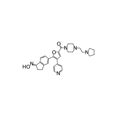 O=C(c1cc(-c2ccncc2)c(-c2ccc3c(c2)CCC3=NO)o1)N1CCN(CCN2CCCC2)CC1